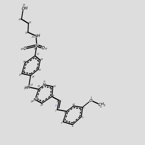 COc1cccc(/C=C/c2cnc(Nc3ccc(S(=O)(=O)NCCCO)cc3)nc2)c1